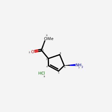 COC(=O)C1C=C[C@H](N)C1.Cl